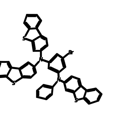 Brc1cc(N(c2ccccc2)c2ccc3c(c2)sc2ccccc23)cc(N(c2ccc3c(c2)sc2ccccc23)c2ccc3sc4ccccc4c3c2)c1